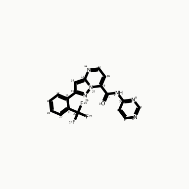 O=C(Nc1ccncn1)c1ccnc2cc(-c3ccccc3C(F)(F)F)nn12